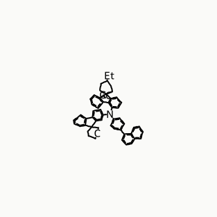 CCC1CC2CCCC(C1)C21c2ccccc2-c2c(N(c3ccc(-c4cccc5ccccc45)cc3)c3ccc4c(c3)C3(CCCCC3)c3ccccc3-4)cccc21